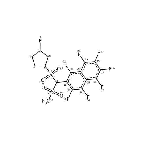 O=S(=O)(C1CCC(F)C1)C(c1c(F)c(F)c2c(F)c(F)c(F)c(F)c2c1F)S(=O)(=O)C(F)(F)F